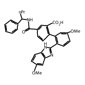 CCCC(NC(=O)c1ccc(-c2cc(OC)ccc2-c2nc3cc(OC)ccc3[nH]2)c(C(=O)O)c1)c1ccccc1